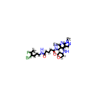 CCc1nc2c(cnn2CC)c(NC2CCOCC2)c1CNC(=O)CCCC(=O)NCc1ccc(F)c(Br)c1